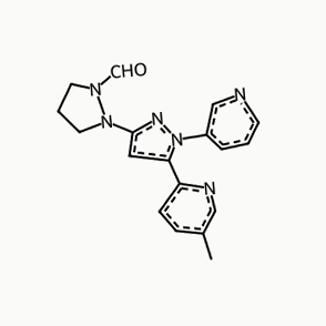 Cc1ccc(-c2cc(N3CCCN3C=O)nn2-c2cccnc2)nc1